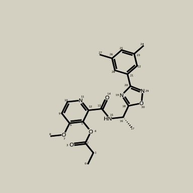 CCC(=O)Oc1c(OC)ccnc1C(=O)N[C@@H](C)c1nc(-c2cc(C)cc(C)c2)no1